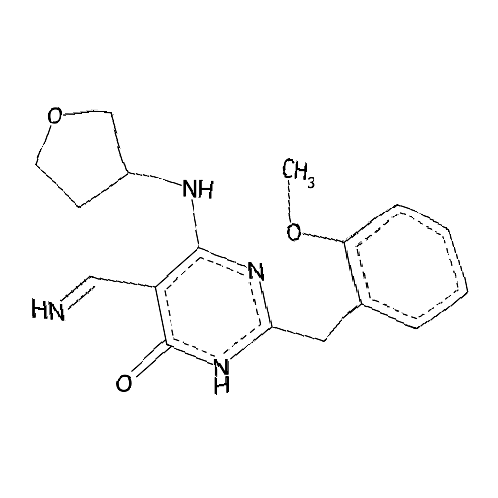 COc1ccccc1Cc1nc(NC2CCOC2)c(C=N)c(=O)[nH]1